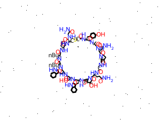 CCCC[C@H]1C(=O)N(C)[C@@H](CCCC)C(=O)N[C@@H](CC(C)C)C(=O)N[C@H](C(=O)NCC(N)=O)CSCC(=O)N[C@@H](Cc2ccc(O)cc2)C(=O)N(C)[C@@H](C)C(=O)N[C@@H](CC(N)=O)C(=O)N2CCC[C@H]2C(=O)NCC(=O)N[C@@H](CCC(N)=O)C(=O)N2C[C@H](O)C[C@H]2C(=O)N[C@@H](Cc2c[nH]c3ccccc23)C(=O)N[C@@H](CO)C(=O)N[C@@H](Cc2c[nH]c3ccccc23)C(=O)N1C